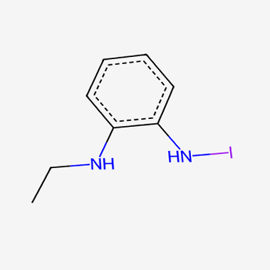 CCNc1ccccc1NI